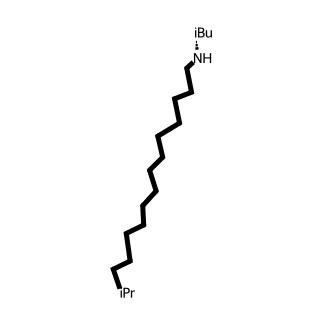 CC[C@@H](C)NCCCCCCCCCCCCCC(C)C